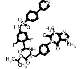 CC(C)OC(=O)[C@H](Cc1ccc(-n2c(=O)c3c(ncn3C)n(C)c2=O)cc1)NC(=O)c1c(F)cc(NS(=O)(=O)c2ccc(-c3ccncc3)cc2)cc1F